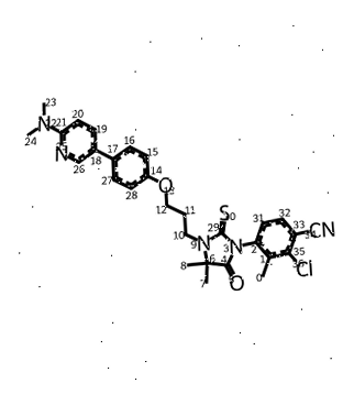 Cc1c(N2C(=O)C(C)(C)N(CCCOc3ccc(-c4ccc(N(C)C)nc4)cc3)C2=S)ccc(C#N)c1Cl